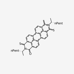 C=c1c2ccc3c4ccc5c6c(ccc(c7ccc(c(=S)n1[C@H](C)CCCCC)c2c37)c64)C(=O)N([C@H](C)CCCCC)C5=S